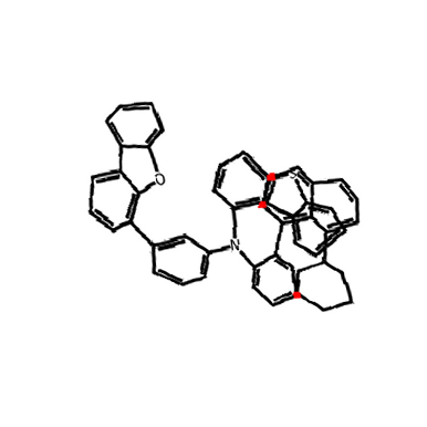 c1cc(-c2cccc3c2oc2ccccc23)cc(N(c2ccccc2-c2cccc3cccc(C4CCCCC4)c23)c2cccc3sc4ccccc4c23)c1